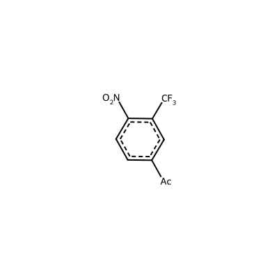 CC(=O)c1ccc([N+](=O)[O-])c(C(F)(F)F)c1